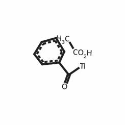 CC(=O)O.O=[C]([Tl])c1ccccc1